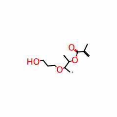 [CH2]C(OCCCO)C(C)OC(=O)C(=C)C